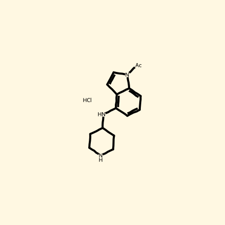 CC(=O)n1ccc2c(NC3CCNCC3)cccc21.Cl